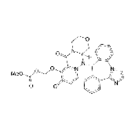 COC(=O)OCOc1c2n(ccc1=O)N([C@H]1c3ccccc3-c3nccn3-c3ccccc31)[C@@H]1COCCN1C2=O